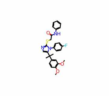 COc1ccc(C(C)(C)c2cnc(SCC(=O)Nc3ccccc3)n2-c2ccc(F)cc2)cc1OC